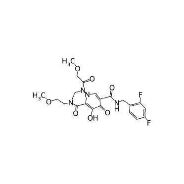 COCCN1CN(C(=O)COC)n2cc(C(=O)NCc3ccc(F)cc3F)c(=O)c(O)c2C1=O